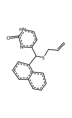 C=CCSC(c1cc[nH]c(=O)n1)c1cccc2ccccc12